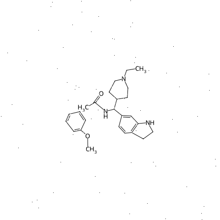 CCN1CCC(C(NC(C)=O)c2ccc3c(c2)NCC3)CC1.COc1ccccc1